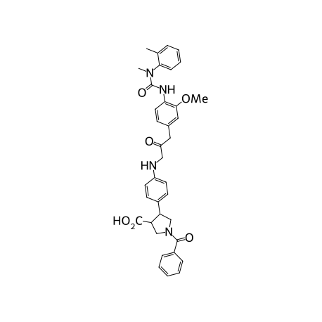 COc1cc(CC(=O)CNc2ccc(C3CN(C(=O)c4ccccc4)CC3C(=O)O)cc2)ccc1NC(=O)N(C)c1ccccc1C